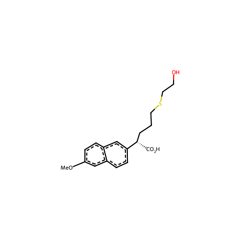 COc1ccc2cc([C@H](CCCSCCO)C(=O)O)ccc2c1